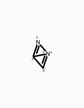 [C]1=[N+]2N=C12